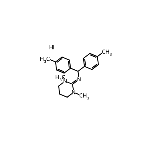 Cc1ccc(C(N=C2N(C)CCCN2C)c2ccc(C)cc2)cc1.I